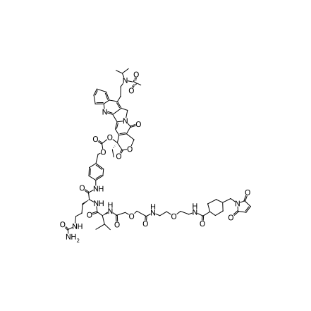 CC[C@@]1(OC(=O)OCc2ccc(NC(=O)[C@H](CCCNC(N)=O)NC(=O)[C@@H](NC(=O)COCC(=O)NCCOCCNC(=O)C3CCC(CN4C(=O)C=CC4=O)CC3)C(C)C)cc2)C(=O)OCc2c1cc1n(c2=O)Cc2c-1nc1ccccc1c2CCN(C(C)C)S(C)(=O)=O